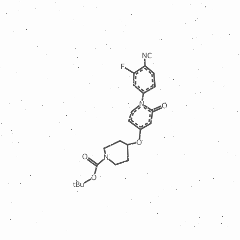 [C-]#[N+]c1ccc(-n2ccc(OC3CCN(C(=O)OC(C)(C)C)CC3)cc2=O)cc1F